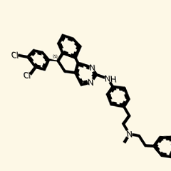 CN(CCc1ccccc1)CCc1ccc(Nc2ncc3c(n2)-c2ccccc2[C@H](c2ccc(Cl)c(Cl)c2)C3)cc1